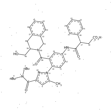 CCCCN(CCCC)C(=O)c1cc(C)n(-c2ccc(NC(=O)C(CC(=O)O)c3ccccc3)cc2C(=O)N2Cc3ccccc3CC2CO)n1